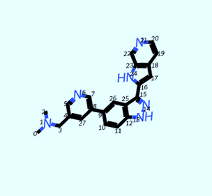 CN(C)Cc1cncc(-c2ccc3[nH]nc(-c4cc5ccncc5[nH]4)c3c2)c1